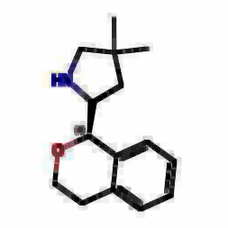 CC1(C)CNC([C@@H]2OCCc3ccccc32)C1